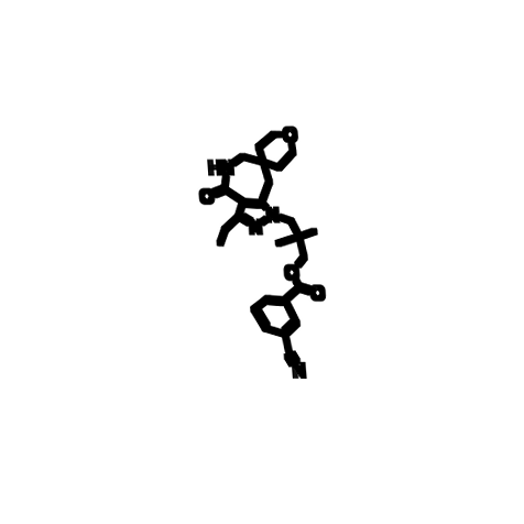 CCc1nn(CC(C)(C)COC(=O)c2cccc(C#N)c2)c2c1C(=O)NCC1(CCOCC1)C2